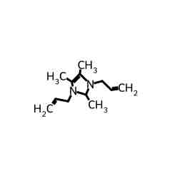 C=CCN1C(C)=C(C)N(CC=C)C1C